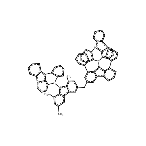 Cc1cc(C)c2c(c1)c1cc(Cc3cc(-c4ccccc4)c4c(c3)c3cccc(-c5ccccc5)c3n4B3c4ccccc4-n4c5ccccc5c5cccc3c54)cc(C)c1n2B1c2ccccc2-n2c3ccccc3c3cccc1c32